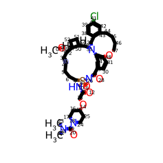 CO[C@H]1/C=C/CCCS(=O)(NC(=O)COC2CCN(C(=O)N(C)C)CC2)=NC(=O)c2ccc3c(c2)N(Cc2ccc(Cl)cc2CCCCO3)C[C@@H]2CC[C@H]21